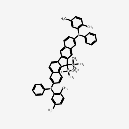 Cc1ccc(C)c(N(c2ccccc2)c2ccc3cc4c(cc3c2)C([Si](C)(C)C)([Si](C)(C)C)c2c-4ccc3cc(N(c4ccccc4)c4cc(C)ccc4C)ccc23)c1